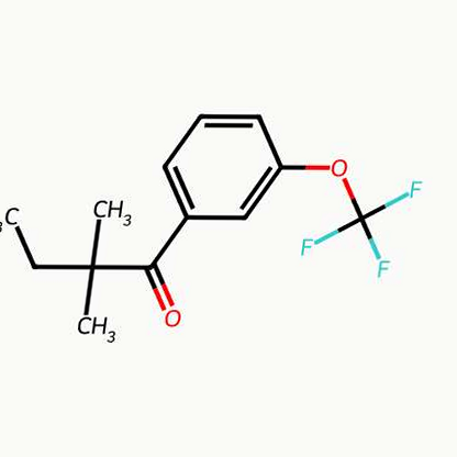 CCC(C)(C)C(=O)c1cccc(OC(F)(F)F)c1